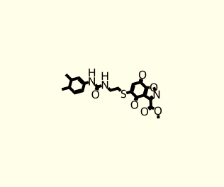 COC(=O)c1noc2c1C(=O)C(SCCNC(=O)NC1=CC(C)C(C)C=C1)=CC2=O